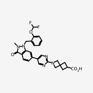 Cn1c(=O)c2ccc(-c3cnc(N4CC5(CC(C(=O)O)C5)C4)nc3)cc2n1Cc1ccccc1OC(F)F